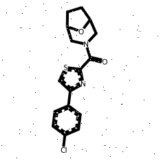 O=C(c1nc(-c2ccc(Cl)cc2)cs1)N1CC2CCC(C1)O2